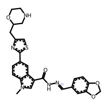 Cn1cc(C(=O)N/N=C/c2ccc3c(c2)OCO3)c2cc(-c3nc(CC4CNCCO4)cs3)ccc21